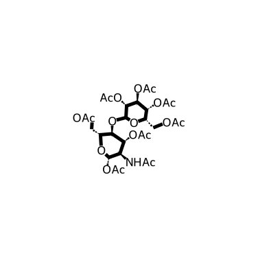 CC(=O)N[C@H]1[C@H](OC(C)=O)O[C@H](COC(C)=O)[C@@H](OC2O[C@@H](COC(C)=O)[C@@H](OC(C)=O)[C@H](OC(C)=O)[C@H]2OC(C)=O)[C@@H]1OC(C)=O